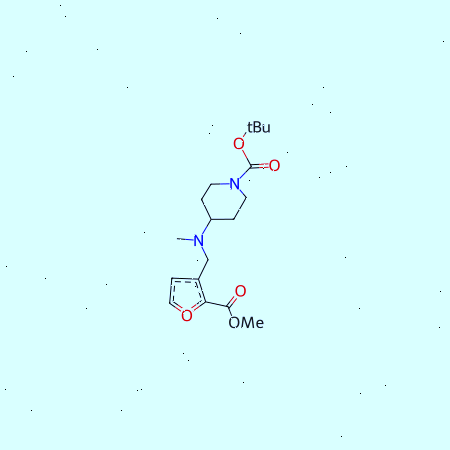 COC(=O)c1occc1CN(C)C1CCN(C(=O)OC(C)(C)C)CC1